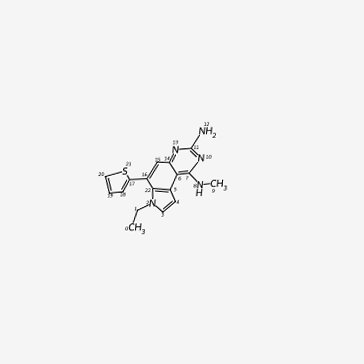 CCn1ccc2c3c(NC)nc(N)nc3cc(-c3cccs3)c21